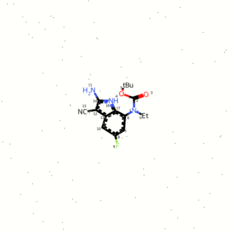 CCN(C(=O)OC(C)(C)C)c1cc(F)cc2c(C#N)c(N)[nH]c12